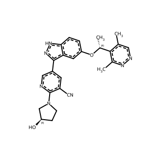 Cc1cnnc(C)c1[C@@H](C)Oc1ccc2[nH]nc(-c3cnc(N4CC[C@@H](O)C4)c(C#N)c3)c2c1